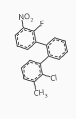 Cc1cccc(-c2ccccc2-c2cccc([N+](=O)[O-])c2F)c1Cl